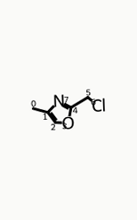 Cc1coc(CCl)n1